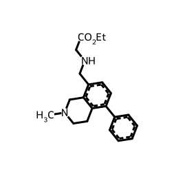 CCOC(=O)CNCc1ccc(-c2ccccc2)c2c1CN(C)CC2